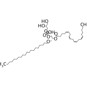 CCCCC/C=C\C/C=C\C/C=C\C/C=C\CCCC(=O)O[C@H](COCCCCCCCCCCCCCCCCCCCC)COP(=O)(O)OC[C@@H](O)CO